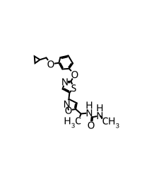 CNC(=O)NC(C)c1cc(-c2cnc(Oc3cccc(OCC4CC4)c3)s2)no1